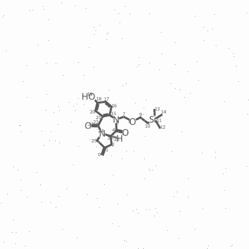 C=C1C[C@H]2C(=O)N(COCC[Si](C)(C)C)c3ccc(O)cc3C(=O)N2C1